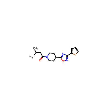 CC(C)CC(=O)N1CCC(c2nc(-c3cccs3)no2)CC1